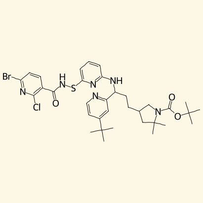 CC(C)(C)OC(=O)N1CC(CCC(Nc2cccc(SNC(=O)c3ccc(Br)nc3Cl)n2)c2cc(C(C)(C)C)ccn2)CC1(C)C